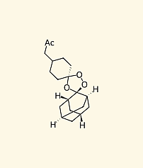 CC(=O)CC1CC[C@]2(CC1)OO[C@]1(O2)[C@@H]2C[C@H]3C[C@@H](C2)C[C@@H]1C3